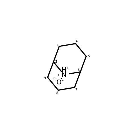 [O-][NH+]1C2CCCC1CCC2